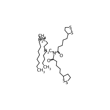 CCCCCCCC.CCCCCCCCNC.CN(C(=O)CCCCC1CCSS1)C(=O)CCCCC1CCSS1